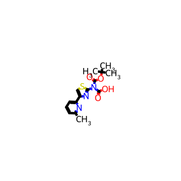 Cc1cccc(-c2csc(N(C(=O)O)C(=O)OC(C)(C)C)n2)n1